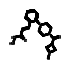 CN1CC(C(=O)N2CCN(c3ccccc3C=CC(=O)NO)CC2)C1